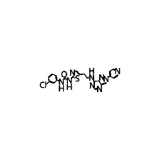 O=C(Nc1cccc(Cl)c1)Nc1ncc(CCNc2ncnc3cn(-c4ccncc4)nc23)s1